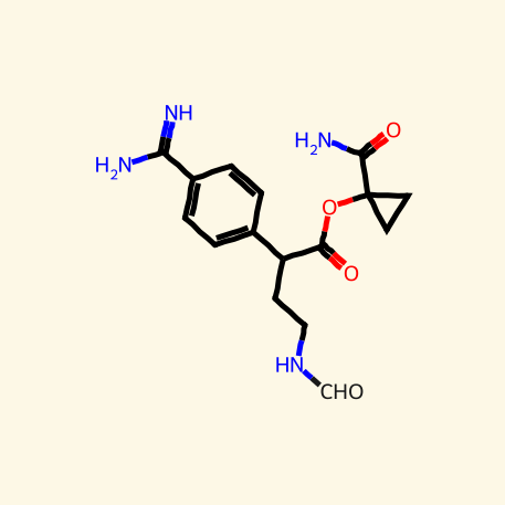 N=C(N)c1ccc(C(CCNC=O)C(=O)OC2(C(N)=O)CC2)cc1